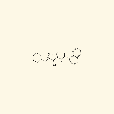 N[C@H](CC1CCCCC1)C(O)C(=O)NNc1cccc2ccccc12